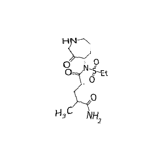 CCS(=O)(=O)N(C(=O)[CH]CC(C)C(N)=O)[C@H]1CCCNCC1=O